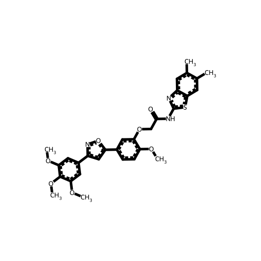 COc1ccc(-c2cc(-c3cc(OC)c(OC)c(OC)c3)no2)cc1OCC(=O)Nc1nc2cc(C)c(C)cc2s1